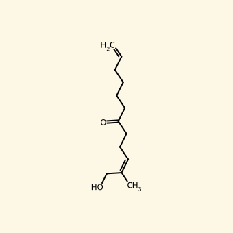 C=CCCCCC(=O)CCC=C(C)CO